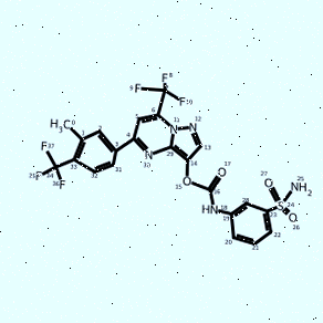 Cc1cc(-c2cc(C(F)(F)F)n3ncc(OC(=O)Nc4cccc(S(N)(=O)=O)c4)c3n2)ccc1C(F)(F)F